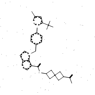 CC(=O)C1CC2(CC(NC(=O)c3csc4ccn(Cc5ccc(-n6nc(C)cc6C(F)(F)F)cc5)c34)C2)C1